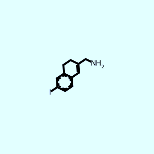 NCC1=Cc2ccc(I)cc2CC1